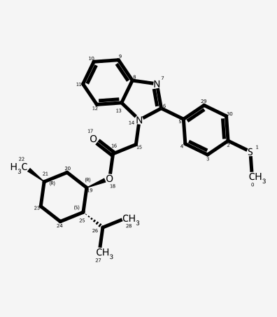 CSc1ccc(-c2nc3ccccc3n2CC(=O)O[C@@H]2C[C@H](C)CC[C@H]2C(C)C)cc1